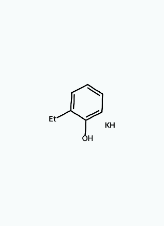 CCc1ccccc1O.[KH]